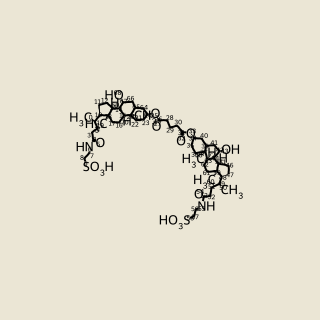 C[C@H](CCC(=O)NCCS(=O)(=O)O)[C@H]1CC[C@@H]2C3[C@@H](CC[C@@]21C)[C@@]1(C)CC[C@H](OC(=O)CCCC(=O)O[C@H]2CC[C@@]4(C)C(C2)C[C@H](O)C2[C@H]5CC[C@H]([C@H](C)CCC(=O)NCCS(=O)(=O)O)[C@@]5(C)CC[C@H]24)CC1C[C@@H]3O